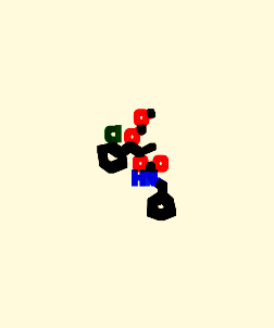 COCO[C@H](C1=C(Cl)CCC=C1)[C@@H](C)OC(=O)NCc1ccccc1